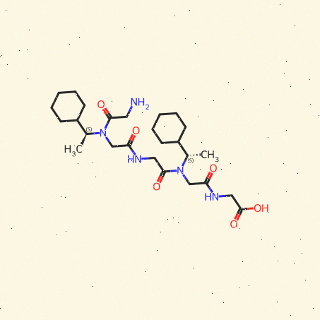 C[C@@H](C1CCCCC1)N(CC(=O)NCC(=O)N(CC(=O)NCC(=O)O)[C@@H](C)C1CCCCC1)C(=O)CN